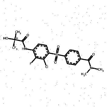 CN(C)C(=O)c1ccc(S(=O)(=O)c2ccc(NC(=O)[C@@](C)(O)C(F)(F)F)c(F)c2Cl)cc1